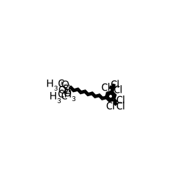 CO[Si](CCCCCCCCCCc1cc(C(Cl)(Cl)Cl)cc(C(Cl)(Cl)Cl)c1)(OC)OC